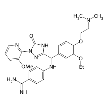 CCOc1cc(C(Nc2ccc(C(=N)N)cc2)c2nn(-c3ncccc3OC)c(=O)[nH]2)ccc1OCCN(C)C